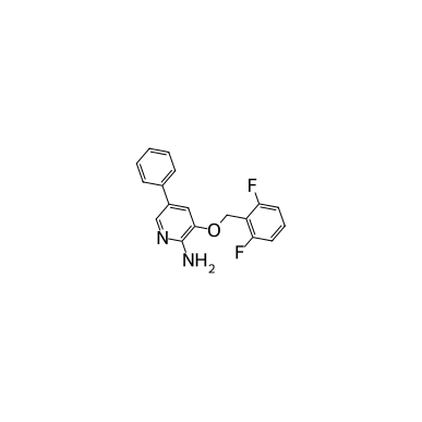 Nc1ncc(-c2ccccc2)cc1OCc1c(F)cccc1F